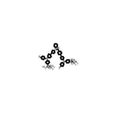 C[Si](C)(C)c1ccc(N(c2ccc(F)cc2)c2ccc(-c3ccc(-c4nc5ccccc5n4-c4ccc(-c5ccc(N(c6ccc(F)cc6)c6ccc([Si](C)(C)C)cc6)cc5)cc4)cc3)cc2)cc1